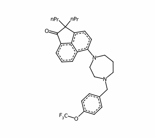 CCCC1(CCC)C(=O)c2cccc3c(N4CCCN(Cc5ccc(OC(F)(F)F)cc5)CC4)ccc1c23